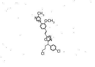 COc1cc(/C=C/c2nnc(C(CCCCl)c3ccc(Cl)cc3)o2)ccc1-n1cnc(C)c1